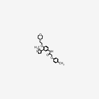 Cc1ccc(OCC(=O)Nc2ccc(OCCN3CCOCC3)c(-c3ccnn3C)c2)cc1